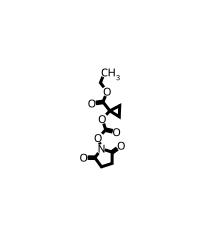 CCOC(=O)C1(OC(=O)ON2C(=O)CCC2=O)CC1